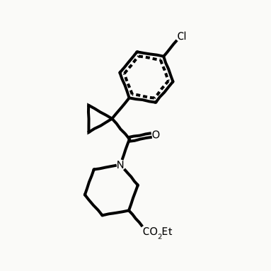 CCOC(=O)C1CCCN(C(=O)C2(c3ccc(Cl)cc3)CC2)C1